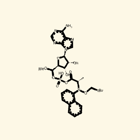 COC(OP(=O)(O)OC(=O)[C@H](C)N(OCC(C)(C)C)c1cccc2ccccc12)[C@H]1O[C@@H](n2cnc3c(N)ncnc32)[C@H](O)[C@@H]1O